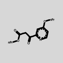 CCCOC(=O)CC(=O)c1cc(OCCC)ccn1